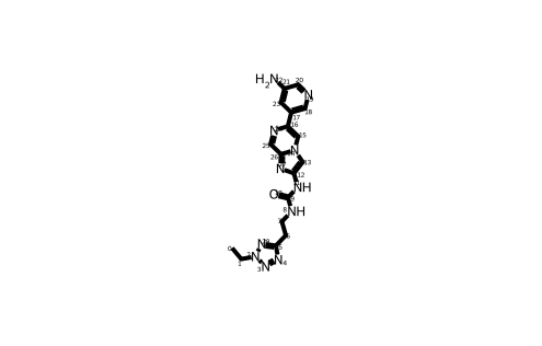 CCn1nnc(CCNC(=O)Nc2cn3cc(-c4cncc(N)c4)ncc3n2)n1